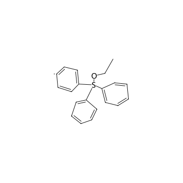 CCOS(c1cc[c]cc1)(c1ccccc1)c1ccccc1